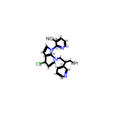 CC(C)CC(CN1C=CC(Cl)c2ccn(-c3ncccc3C#N)c21)c1cccnc1